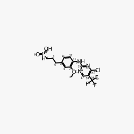 COc1cc(CCC[PH](=O)O)ccc1Nc1ncc(C(F)(F)F)c(Cl)n1